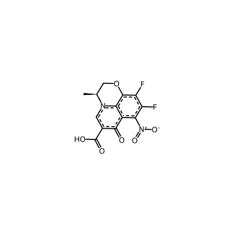 C[C@H]1COc2c(F)c(F)c([N+](=O)[O-])c3c(=O)c(C(=O)O)cn1c23